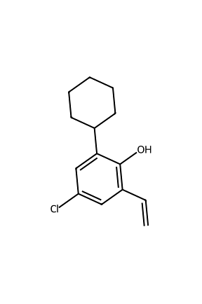 C=Cc1cc(Cl)cc(C2CCCCC2)c1O